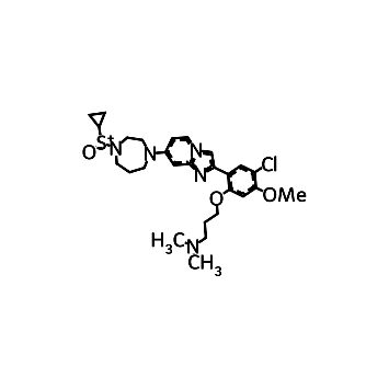 COc1cc(OCCCN(C)C)c(-c2cn3ccc(N4CCCN([S+]([O-])C5CC5)CC4)cc3n2)cc1Cl